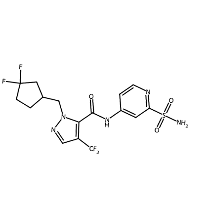 NS(=O)(=O)c1cc(NC(=O)c2c(C(F)(F)F)cnn2CC2CCC(F)(F)C2)ccn1